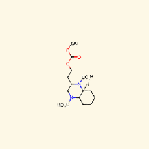 CC(C)(C)OC(=O)OCCC1CN(C(=O)O)C2CCCC[C@@H]2N1C(=O)O